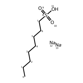 CCCCCCCCS(=O)(=O)O.[Na].[Na]